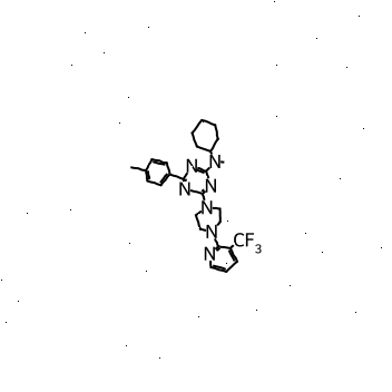 Cc1ccc(-c2nc(N3CCN(c4ncccc4C(F)(F)F)CC3)nc(N(C)C3CCCCC3)n2)cc1